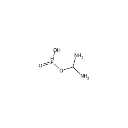 NC(N)O[PH](=O)O